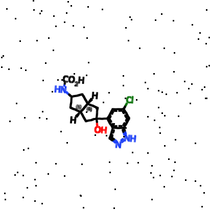 O=C(O)NC1C[C@@H]2CC(O)(c3cc(Cl)cc4[nH]ncc34)C[C@@H]2C1